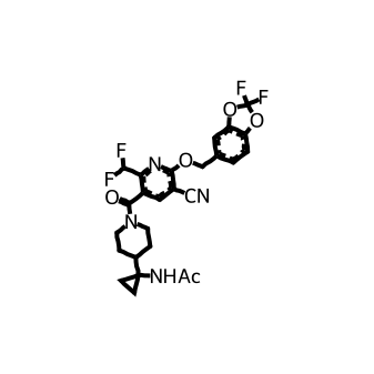 CC(=O)NC1(C2CCN(C(=O)c3cc(C#N)c(OCc4ccc5c(c4)OC(F)(F)O5)nc3C(F)F)CC2)CC1